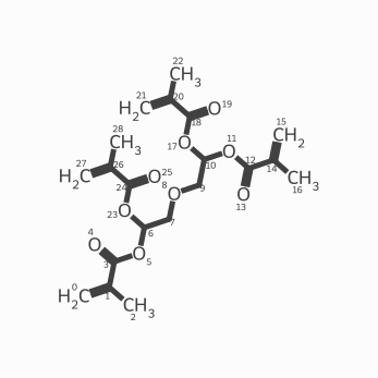 C=C(C)C(=O)OC(COCC(OC(=O)C(=C)C)OC(=O)C(=C)C)OC(=O)C(=C)C